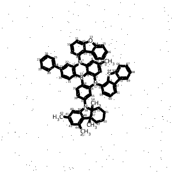 Cc1cc2c3c(c1)N(c1cccc4oc5ccccc5c14)c1cc(-c4ccccc4)ccc1B3c1ccc(N3c4cc(C)cc(C)c4C4(C)CCCCC34C)cc1N2c1cccc2c1sc1ccccc12